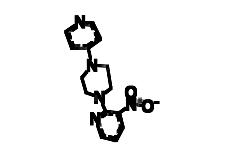 O=[N+]([O-])c1cccnc1N1CCN(c2ccncc2)CC1